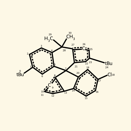 CC(C)(C)c1ccc2c(c1)C1(c3ccccc3-c3ccc(Cl)cc31)c1cc(C(C)(C)C)ccc1C2(C)C